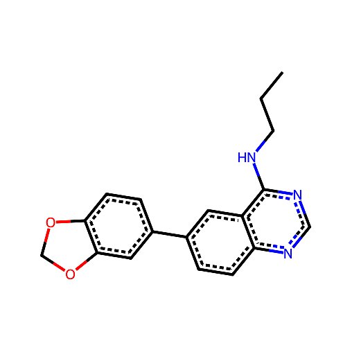 CCCNc1ncnc2ccc(-c3ccc4c(c3)OCO4)cc12